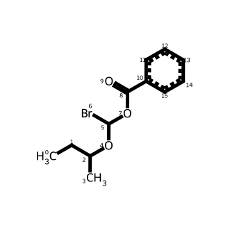 CCC(C)OC(Br)OC(=O)c1ccccc1